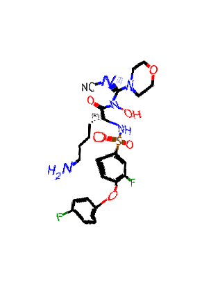 N#C/N=C(/N1CCOCC1)N(O)C(=O)[C@@H](CCCCN)NS(=O)(=O)c1ccc(Oc2ccc(F)cc2)c(F)c1